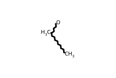 CCCCCCCCCCC(C)CCCC=O